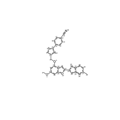 COc1cc(OCc2csc(-c3ccc(C#N)cc3)n2)c2cc(-c3cn4nc(C)ccc4n3)oc2c1